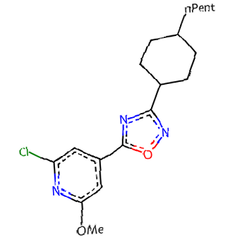 CCCCCC1CCC(c2noc(-c3cc(Cl)nc(OC)c3)n2)CC1